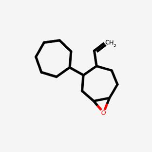 C=CC1CCC2OC2CC1C1CCCCCC1